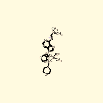 CN(C)/C=N/c1ncnc2c1ncn2[C@@H]1O[C@@]2(CN3CCOCC3)COC1C2O[Si](C)(C)C(C)(C)C